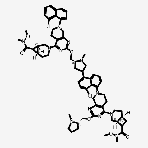 CON(C)C(=O)C1C[C@@H]2CCN(c3nc(OC[C@@H]4CCCN4C)nc4c3CCN(c3cccc5c(C6C[C@@H](COc7nc8c(c(N9CC[C@@H]%10C(C(=O)N(C)OC)[C@@H]%10C9)n7)CCN(c7cccc9cccc(Cl)c79)C8)N(C)C6)ccc(Cl)c35)C4)C[C@H]12